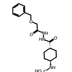 O=C(COCc1ccccc1)NNC(=O)[C@H]1CC[C@H](NC(=O)O)CC1